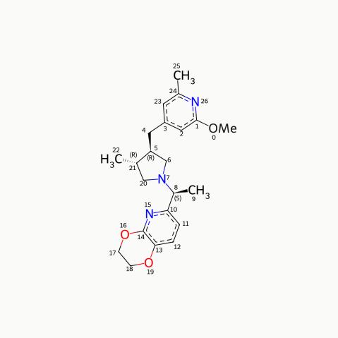 COc1cc(C[C@H]2CN([C@@H](C)c3ccc4c(n3)OCCO4)C[C@@H]2C)cc(C)n1